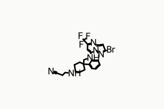 N#CCCNC1CCC(CNc2cc(C(F)(F)F)nc3cc(Br)nn23)(c2ccccc2)CC1